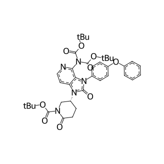 CC(C)(C)OC(=O)N1C[C@H](n2c(=O)n(-c3ccc(Oc4ccccc4)cc3)c3c(N(C(=O)OC(C)(C)C)C(=O)OC(C)(C)C)nccc32)CCC1=O